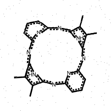 Cc1c(C)c2nc3cccc(n3)nc3[nH]c(nc4cccc(n4)nc1[nH]2)c(C)c3C